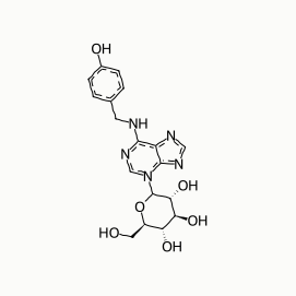 OC[C@H]1OC(n2cnc(NCc3ccc(O)cc3)c3ncnc2-3)[C@H](O)[C@@H](O)[C@@H]1O